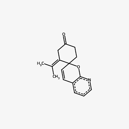 CC(C)=C1CC(=O)CCC12C=Cc1cccnc1O2